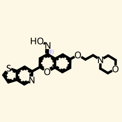 O/N=c1\cc(-c2cc3sccc3cn2)oc2ccc(OCCN3CCOCC3)cc12